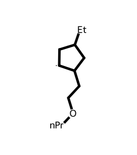 [CH2]CC1C[CH]C(CCOCCC)C1